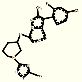 Cc1nn2c(OC3CCCN(c4nc(C(C)C)no4)C3)ccnc2c1-c1ccc(C#N)cc1F